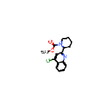 CC(C)(C)OC(=O)N1CCCCC1c1cc(Cl)c2ccccc2n1